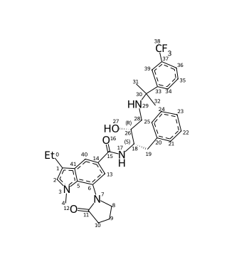 CCc1cn(C)c2c(N3CCCC3=O)cc(C(=O)N[C@@H](Cc3ccccc3)[C@H](O)CNC(C)(C)c3cccc(C(F)(F)F)c3)cc12